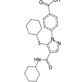 O=C(O)c1ccc(-n2ncc(C(=O)NC3CCCCC3)c2SC2CCCCC2)cc1